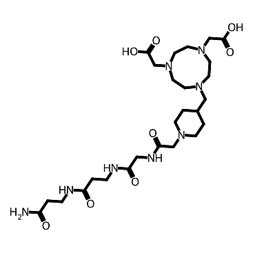 NC(=O)CCNC(=O)CCNC(=O)CNC(=O)CN1CCC(CN2CCN(CC(=O)O)CCN(CC(=O)O)CC2)CC1